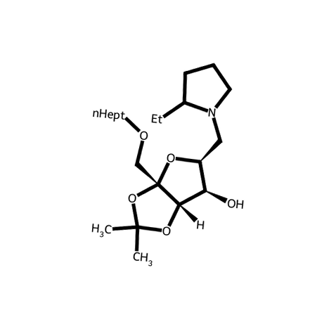 CCCCCCCOC[C@@]12O[C@@H](CN3CCCC3CC)[C@@H](O)[C@@H]1OC(C)(C)O2